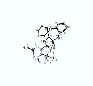 CC([C@H](OC(N)=O)C(=O)NC1C(=O)Nc2ccccc2OC12CCCCC2)C(C)(C)C